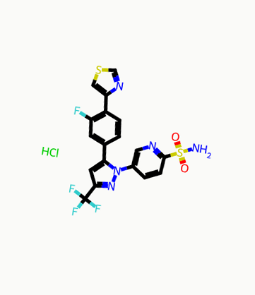 Cl.NS(=O)(=O)c1ccc(-n2nc(C(F)(F)F)cc2-c2ccc(-c3cscn3)c(F)c2)cn1